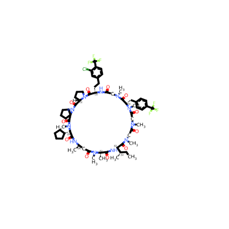 CC[C@H](C)[C@@H]1NC(=O)[C@H](C)N(C)C(=O)C[C@@H](C)NC(=O)[C@H](C2CCCC2)N(C)C(=O)C2(CCCC2)NC(=O)[C@@H]2CCCN2C(=O)[C@H](CCc2ccc(C(F)(F)F)c(Cl)c2)NC(=O)CN(C)C(=O)[C@H](Cc2ccc(C(F)(F)F)cc2)N(C)C(=O)CN(C)C(=O)CN(C)C1=O